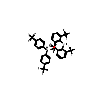 FC(F)(F)c1ccc(Nc2ccc(C(F)(F)F)cc2)cc1.FC(F)(F)c1cccc(C(F)(F)F)c1Nc1c(C(F)(F)F)cccc1C(F)(F)F